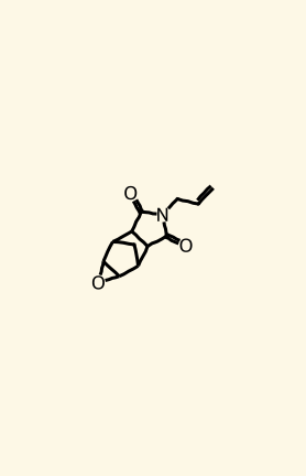 C=CCN1C(=O)C2C3CC(C4OC34)C2C1=O